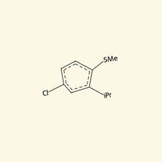 [CH2]C(C)c1cc(Cl)ccc1SC